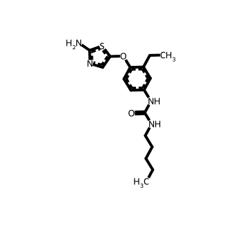 CCCCCNC(=O)Nc1ccc(Oc2cnc(N)s2)c(CC)c1